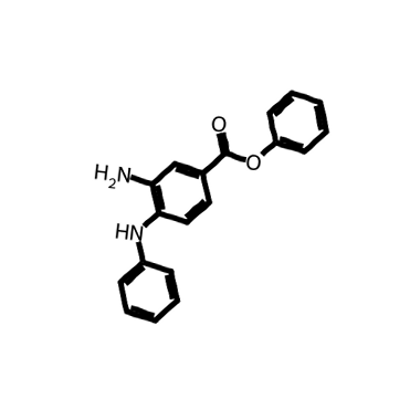 Nc1cc(C(=O)Oc2ccccc2)ccc1Nc1ccccc1